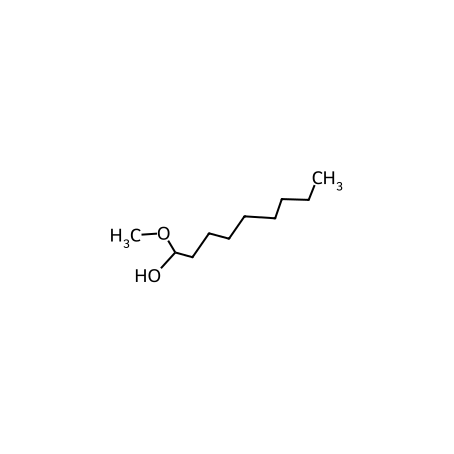 CCCCCCCCC(O)OC